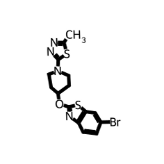 Cc1nnc(N2CCC(Oc3nc4ccc(Br)cc4s3)CC2)s1